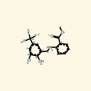 COC(=O)c1ccccc1NCc1cc(C(F)(F)F)cc(Cl)c1O